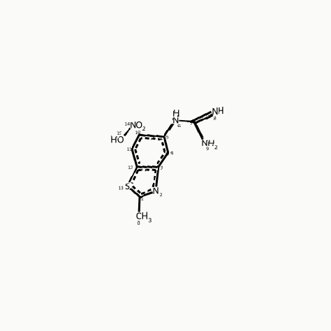 Cc1nc2cc(NC(=N)N)ccc2s1.O=[N+]([O-])O